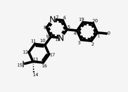 Cc1ccc(-c2cncc(C3=CC[C@](C)(I)C=C3)n2)cc1